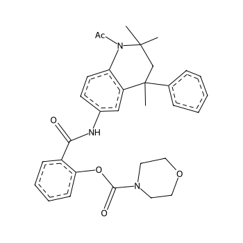 CC(=O)N1c2ccc(NC(=O)c3ccccc3OC(=O)N3CCOCC3)cc2C(C)(c2ccccc2)CC1(C)C